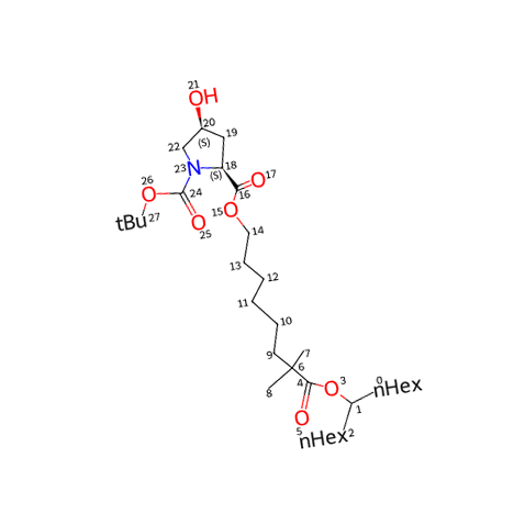 CCCCCCC(CCCCCC)OC(=O)C(C)(C)CCCCCCOC(=O)[C@@H]1C[C@H](O)CN1C(=O)OC(C)(C)C